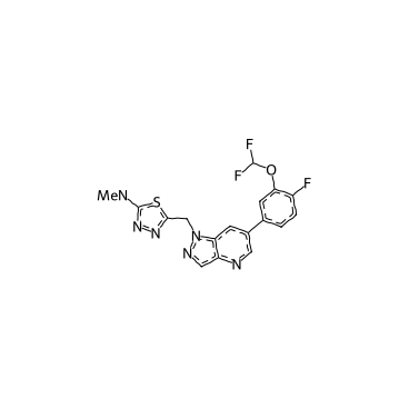 CNc1nnc(Cn2ncc3ncc(-c4ccc(F)c(OC(F)F)c4)cc32)s1